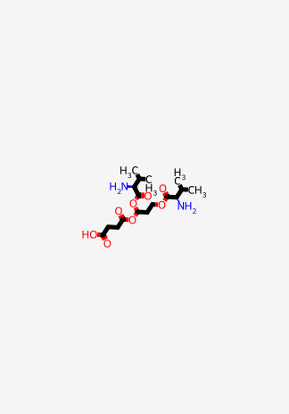 CC(C)[C@H](N)C(=O)OCCC(OC(=O)CCC(=O)O)OC(=O)[C@@H](N)C(C)C